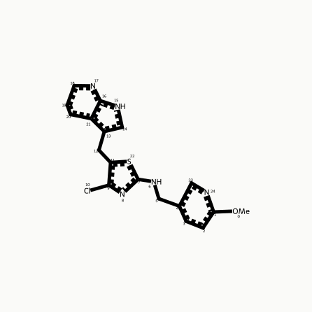 COc1ccc(CNc2nc(Cl)c(Cc3c[nH]c4ncccc34)s2)cn1